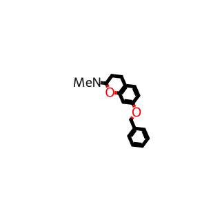 CNC1CCc2ccc(OCc3ccccc3)cc2O1